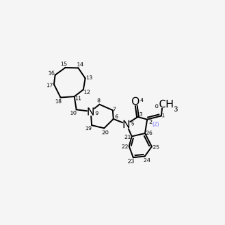 C/C=C1\C(=O)N(C2CCN(CC3CCCCCCC3)CC2)c2ccccc21